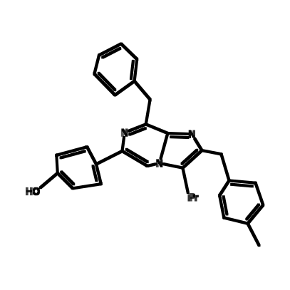 Cc1ccc(Cc2nc3c(Cc4ccccc4)nc(-c4ccc(O)cc4)cn3c2C(C)C)cc1